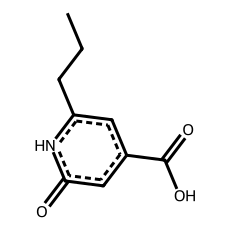 CCCc1cc(C(=O)O)cc(=O)[nH]1